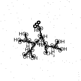 CC(=O)CCOCC(COCCC(=O)NC(COCCC(=O)O)COCCC(=O)O)NC(=O)CCOCC(COCCC(=O)NC(COCCC(=O)NC(COCCC(=O)O)COCCC(=O)O)COCCC(=O)NC(COCCC(=O)O)COCCC(=O)O)NC(=O)CCCNC(=O)OCc1c2ccccc2cc2ccccc12